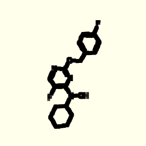 ON(c1nc(OCc2ccc(F)cc2)ncc1F)C1CCCCC1